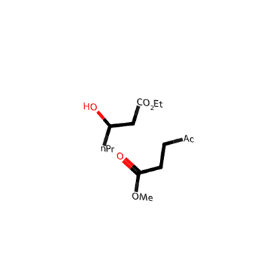 CCCC(O)CC(=O)OCC.COC(=O)CCC(C)=O